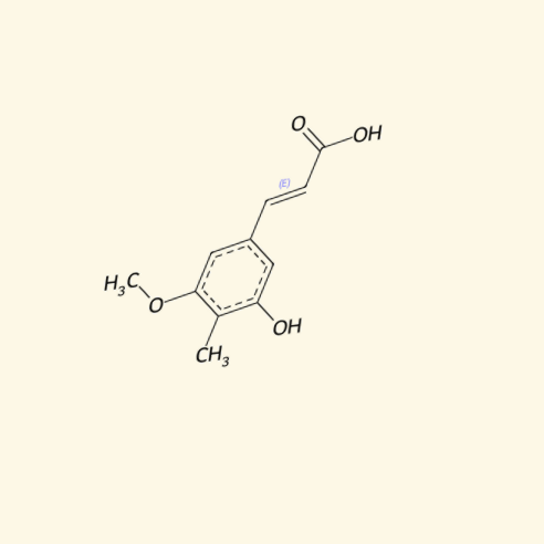 COc1cc(/C=C/C(=O)O)cc(O)c1C